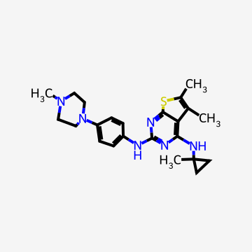 Cc1sc2nc(Nc3ccc(N4CCN(C)CC4)cc3)nc(NC3(C)CC3)c2c1C